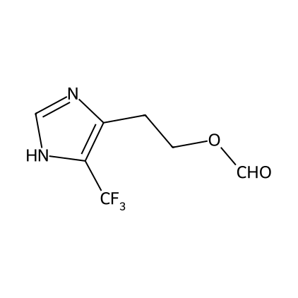 O=COCCc1nc[nH]c1C(F)(F)F